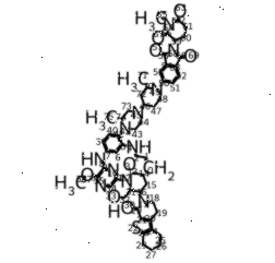 C=CC(=O)Nc1cc(Nc2nc(N3CCCC(N4CCc5c(sc6c5CCCC6)C4=O)C3CO)cnc2OC)ccc1N1CCN(C2CCN(c3ccc4c(c3)C(=O)N(C3CCC(=O)N(C)C3=O)C4=O)[C@H](C)C2)C[C@@H]1C